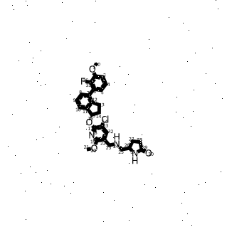 COc1cccc(-c2cccc3c2CC[C@@H]3Oc2nc(OC)c(CNCC3CCC(=O)N3)cc2Cl)c1F